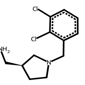 NC[C@@H]1CCN(Cc2cccc(Cl)c2Cl)C1